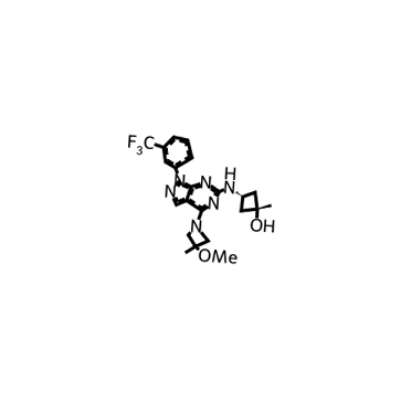 COC1(C)CN(c2nc(N[C@H]3C[C@@](C)(O)C3)nc3c2cnn3-c2cccc(C(F)(F)F)c2)C1